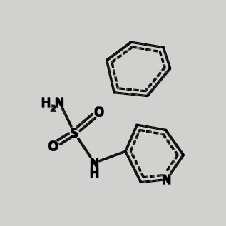 NS(=O)(=O)Nc1cccnc1.c1ccccc1